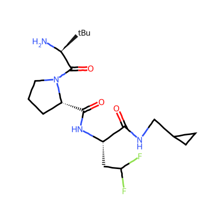 CC(C)(C)[C@H](N)C(=O)N1CCC[C@H]1C(=O)N[C@@H](CC(F)F)C(=O)NCC1CC1